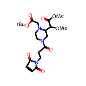 COC(=O)C(OC)C1CN(C(=O)CCN2C(=O)C=CC2=O)CCN1CC(=O)OC(C)(C)C